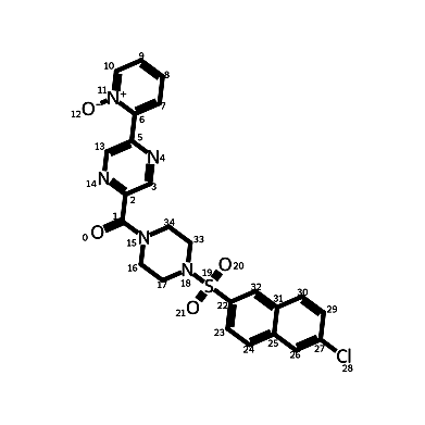 O=C(c1cnc(-c2cccc[n+]2[O-])cn1)N1CCN(S(=O)(=O)c2ccc3cc(Cl)ccc3c2)CC1